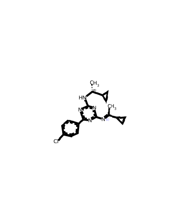 C/C(=N\c1nc(N[C@H](C)C2CC2)nc(-c2ccc(Cl)cc2)n1)C1CC1